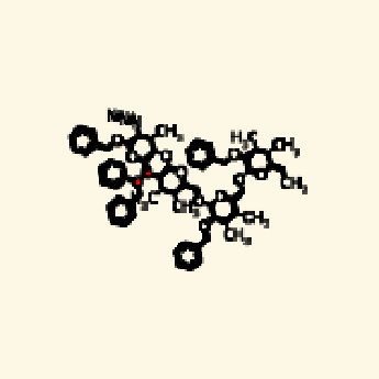 CCC1O[C@H](OCC2O[C@H](OCC3O[C@@H](O[C@@H]4C(COCc5ccccc5)O[C@@H](OCc5ccccc5)C(N=[N+]=[N-])[C@H]4C)C(OCc4ccccc4)[C@@H](C)[C@@H]3C)C(OCc3ccccc3)[C@@H](C)[C@@H]2C)C(OCc2ccccc2)[C@@H](C)[C@@H]1C